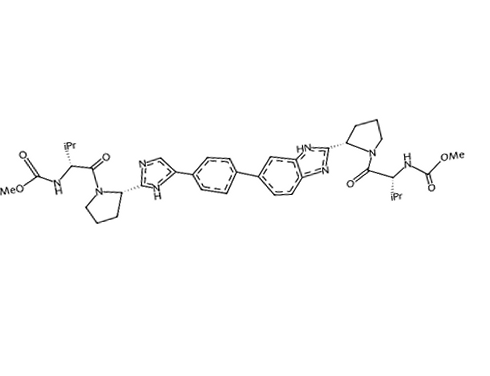 COC(=O)N[C@@H](C(=O)N1CCC[C@H]1c1ncc(-c2ccc(-c3ccc4nc([C@@H]5CCCN5C(=O)[C@H](NC(=O)OC)C(C)C)[nH]c4c3)cc2)[nH]1)C(C)C